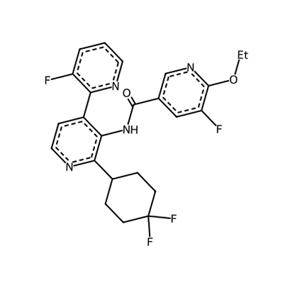 CCOc1ncc(C(=O)Nc2c(-c3ncccc3F)ccnc2C2CCC(F)(F)CC2)cc1F